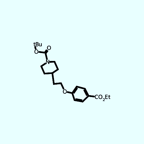 CCOC(=O)c1ccc(OCCC2CCN(C(=O)OC(C)(C)C)CC2)cc1